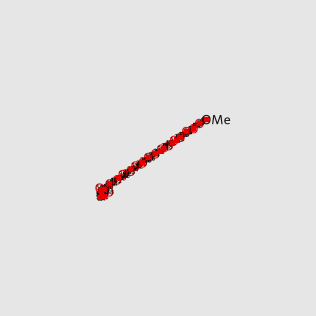 COCCOCCOCCOCCOCCOCCOCCOCCOCCOCCOCCOCCOCCOCCOCCOCCN1C(=O)c2ccccc2C1=O